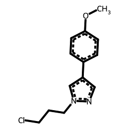 COc1ccc(-c2cnn(CCCCl)c2)cc1